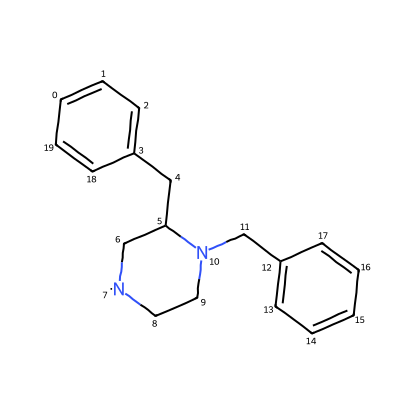 c1ccc(CC2C[N]CCN2Cc2ccccc2)cc1